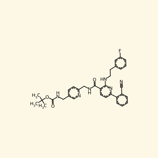 CC(C)(C)OC(=O)NCc1ccc(CNC(=O)c2ccc(-c3ccccc3C#N)nc2NCCc2cccc(F)c2)nc1